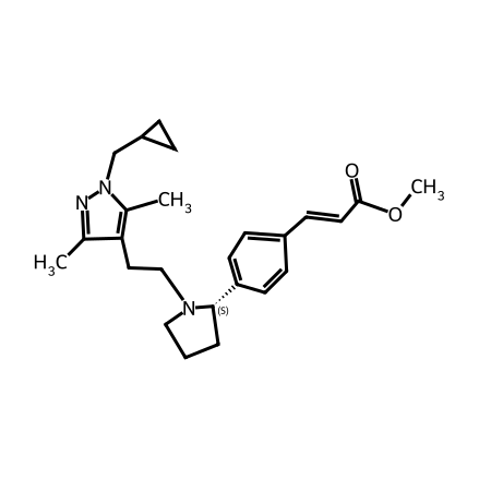 COC(=O)C=Cc1ccc([C@@H]2CCCN2CCc2c(C)nn(CC3CC3)c2C)cc1